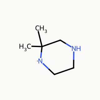 CC1(C)CNCC[N]1